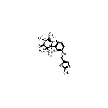 Cc1ncc(CNc2ccc(F)c([C@@]3(C)N=C(N)N(C)C(=O)C3(C)C)c2)[nH]1